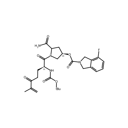 C=C(C)C(=O)CC[C@H](NC(=O)OC(C)(C)C)C(=O)N1C[C@H](OC(=O)N2Cc3cccc(F)c3C2)CC1C(N)=O